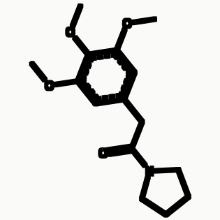 COc1cc(CC(=O)N2CCCC2)cc(OC)c1OC